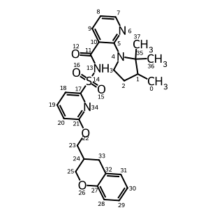 CC1CCN(c2ncccc2C(=O)NS(=O)(=O)c2cccc(OCC3COc4ccccc4C3)n2)C1(C)C